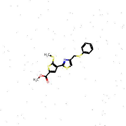 COC(=O)c1cc(-c2nc(CSc3ccccc3)cs2)c(SC)s1